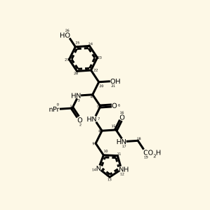 CCCC(=O)NC(C(=O)NC(Cc1c[nH]cn1)C(=O)NCC(=O)O)C(O)c1ccc(O)cc1